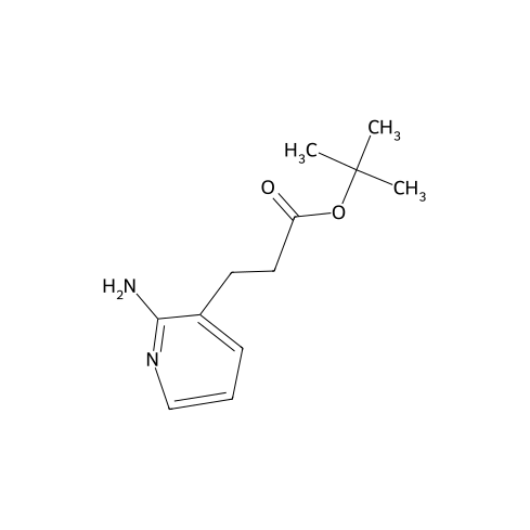 CC(C)(C)OC(=O)CCc1cccnc1N